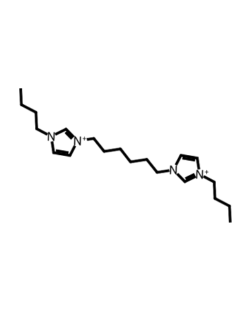 CCCCn1cc[n+](CCCCCCn2cc[n+](CCCC)c2)c1